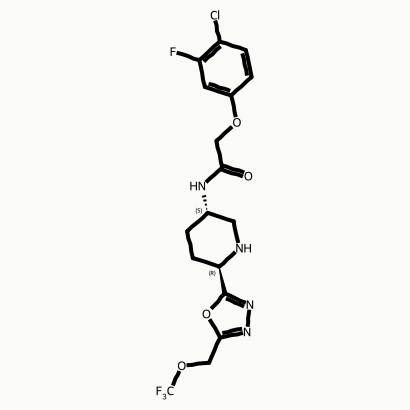 O=C(COc1ccc(Cl)c(F)c1)N[C@H]1CC[C@H](c2nnc(COC(F)(F)F)o2)NC1